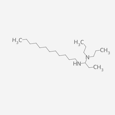 CCCCCCCCCCCCNC(CC)N(CCC)CCC